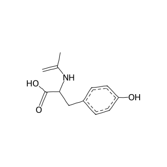 C=C(C)NC(Cc1ccc(O)cc1)C(=O)O